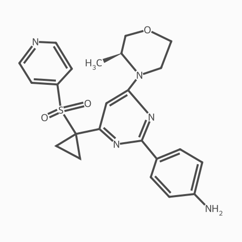 C[C@H]1COCCN1c1cc(C2(S(=O)(=O)c3ccncc3)CC2)nc(-c2ccc(N)cc2)n1